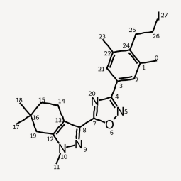 Cc1cc(-c2noc(-c3nn(C)c4c3CCC(C)(C)C4)n2)cc(C)c1CCI